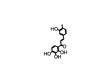 Cc1ccc(/C=C/C(=O)c2ccc(O)c(O)c2O)cc1O